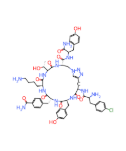 C[C@@H](O)[C@@H]1NC(=O)[C@H](CCCCN)NC(=O)[C@@H](Cc2ccc(C(N)=O)cc2)NC(=O)[C@H](Cc2ccc(O)cc2)NC(=O)[C@H](NC(=O)[C@@H](N)Cc2ccc(Cl)cc2)Cc2cn(nn2)C[C@@H](C(=O)NC(Cc2ccc(O)cc2)C(N)=O)NC1=O